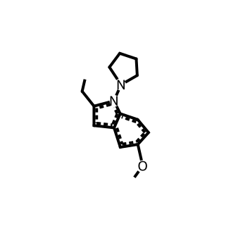 CCc1cc2cc(OC)ccc2n1N1CCCC1